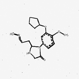 COc1ccc(N2C(=O)CNC2CC=NO)cc1OC1CCCC1